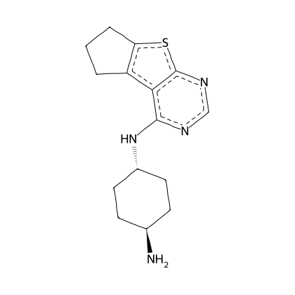 N[C@H]1CC[C@H](Nc2ncnc3sc4c(c23)CCC4)CC1